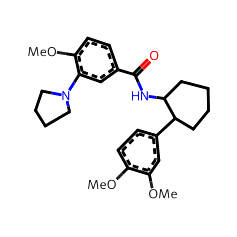 COc1ccc(C2CCCCC2NC(=O)c2ccc(OC)c(N3CCCC3)c2)cc1OC